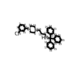 Clc1cccc(N2CCN(CCCNC(c3ccccc3)(c3ccccc3)c3ccccc3)CC2)c1